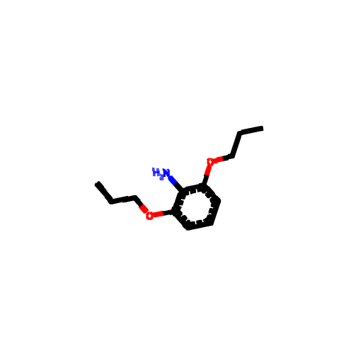 CCCOc1cccc(OCCC)c1N